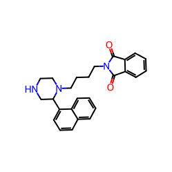 O=C1c2ccccc2C(=O)N1CCCCN1CCNCC1c1cccc2ccccc12